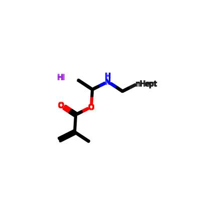 C=C(C)C(=O)OC(C)NCCCCCCCC.I